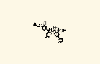 CC(C)Cc1sc(Nc2ncc(-c3cccs3)cc2C(=O)O)nc1-c1ccc(OCC2CC2)c(Cl)c1